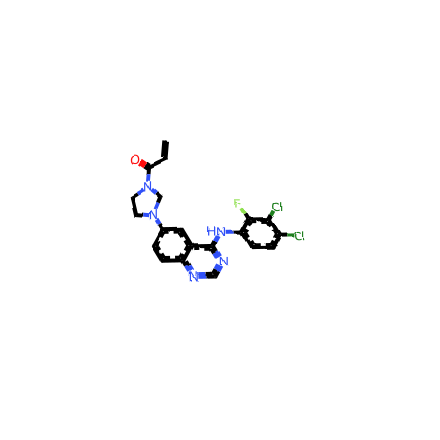 C=CC(=O)N1CCN(c2ccc3ncnc(Nc4ccc(Cl)c(Cl)c4F)c3c2)C1